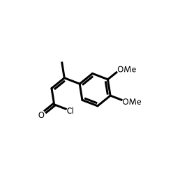 COc1ccc(/C(C)=C\C(=O)Cl)cc1OC